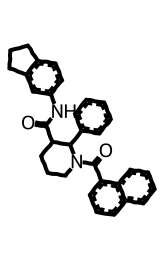 O=C(Nc1ccc2c(c1)CCC2)C1CCCN(C(=O)c2cccc3ccccc23)C1c1ccccc1